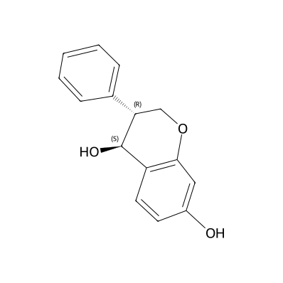 Oc1ccc2c(c1)OC[C@@H](c1ccccc1)[C@@H]2O